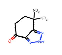 O=C1CCC([N+](=O)[O-])([N+](=O)[O-])c2n[nH]nc21